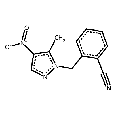 Cc1c([N+](=O)[O-])cnn1Cc1ccccc1C#N